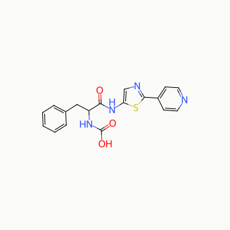 O=C(O)NC(Cc1ccccc1)C(=O)Nc1cnc(-c2ccncc2)s1